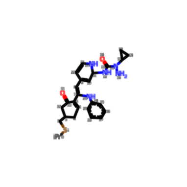 CC(C)SCC1CC=C(/C(=C/C2=CC(NC(=O)N(N)C3CC3)NC=C2)Nc2ccccc2)C(=O)C1